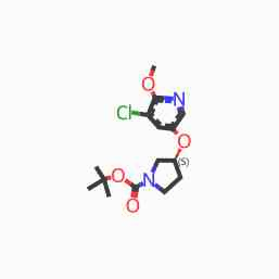 COc1ncc(O[C@H]2CCN(C(=O)OC(C)(C)C)C2)cc1Cl